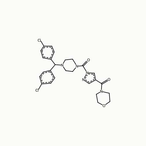 O=C(c1cnn(C(=O)N2CCN(C(c3ccc(Cl)cc3)c3ccc(Cl)cc3)CC2)c1)N1CCOCC1